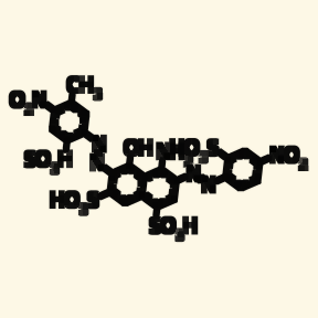 Cc1cc(N=Nc2c(S(=O)(=O)O)cc3c(S(=O)(=O)O)cc(N=Nc4ccc([N+](=O)[O-])cc4S(=O)(=O)O)c(N)c3c2O)c(S(=O)(=O)O)cc1[N+](=O)[O-]